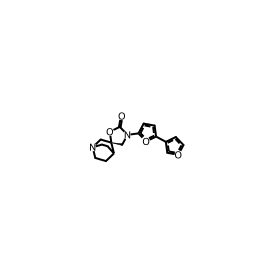 O=C1O[C@]2(CN3CCC2CC3)CN1c1ccc(-c2ccoc2)o1